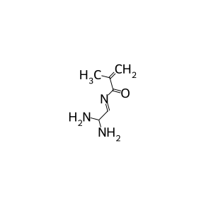 C=C(C)C(=O)N=CC(N)N